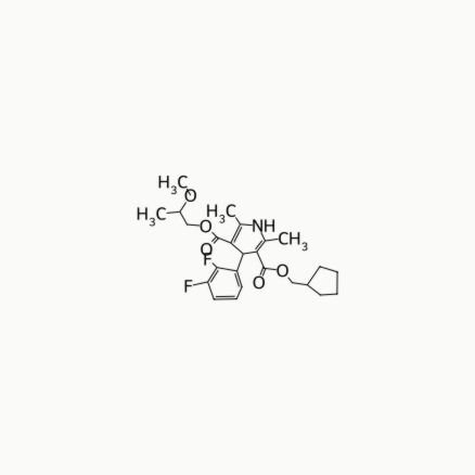 COC(C)COC(=O)C1=C(C)NC(C)=C(C(=O)OCC2CCCC2)C1c1cccc(F)c1F